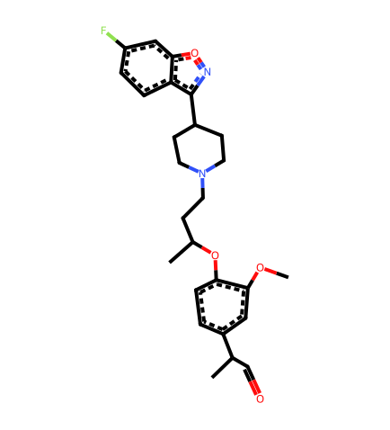 COc1cc(C(C)C=O)ccc1OC(C)CCN1CCC(c2noc3cc(F)ccc23)CC1